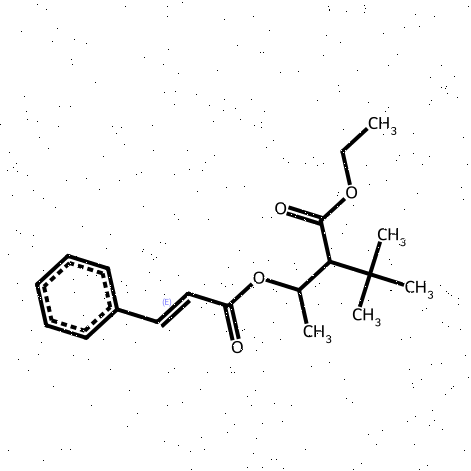 CCOC(=O)C(C(C)OC(=O)/C=C/c1ccccc1)C(C)(C)C